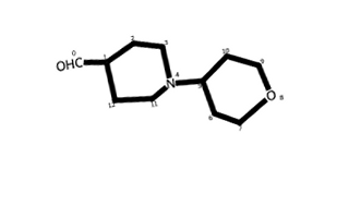 O=CC1CCN(C2CCOCC2)CC1